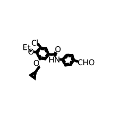 CCOc1c(Cl)cc(C(=O)Nc2ccc(C=O)cc2)cc1OCC1CC1